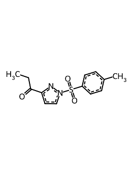 CCC(=O)c1ccn(S(=O)(=O)c2ccc(C)cc2)n1